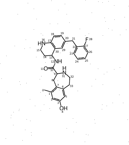 Cc1cc(O)cc2c1CC(C(=O)NC1CCNc3ccc(Cc4ccccc4F)cc31)NCC2